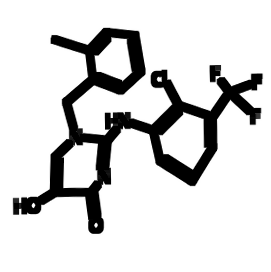 Cc1ccccc1Cn1cc(O)c(=O)nc1Nc1cccc(C(F)(F)F)c1Cl